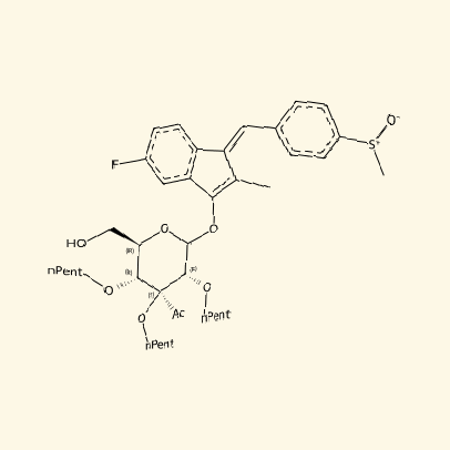 CCCCCO[C@@H]1[C@@H](CO)O[C](OC2=C(C)C(=Cc3ccc([S+](C)[O-])cc3)c3ccc(F)cc32)[C@H](OCCCCC)[C@]1(OCCCCC)C(C)=O